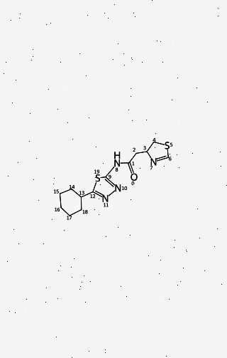 O=C(CC1CSC=N1)Nc1nnc(C2CCCCC2)s1